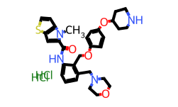 Cl.Cl.Cn1c(C(=O)Nc2cccc(CN3CCOCC3)c2COc2ccc(OC3CCNCC3)cc2)cc2sccc21